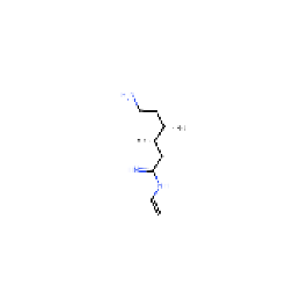 C=CNC(=N)C[C@H](C)[C@@H](CC)CCN